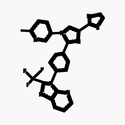 Cc1ccc(-n2cc(-c3nccs3)nc2-c2ccc(-n3c(C(F)(F)F)nc4cccnc43)cc2)cn1